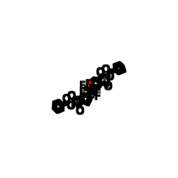 O=C(ON1C(=O)c2ccc(C(c3ccc4c(c3)C(=O)N(OC(=O)c3ccccc3)C4=O)(C(F)(F)F)C(F)(F)F)cc2C1=O)c1ccccc1